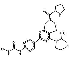 CCNC(=O)Nc1ccc(-c2nc3c(c(N4CCOCC4C)n2)CCN(C(=O)C2CCCN2)C3)cc1